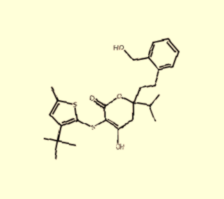 Cc1cc(C(C)(C)C)c(SC2=C(O)CC(CCc3ccccc3CO)(C(C)C)OC2=O)s1